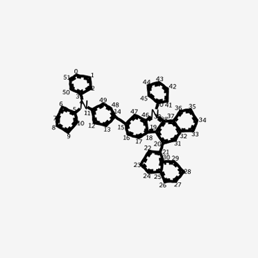 c1ccc(N(c2ccccc2)c2ccc(-c3ccc4c5c(-c6cccc7ccccc67)cc6ccccc6c5n(-c5ccccc5)c4c3)cc2)cc1